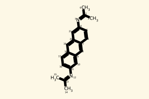 CC(C)=Nc1ccc2cc3cc(N=C(C)C)ccc3cc2c1